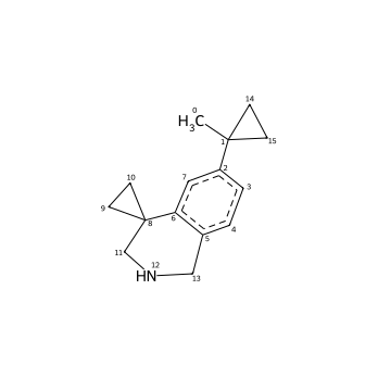 CC1(c2ccc3c(c2)C2(CC2)CNC3)CC1